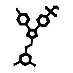 NS(=O)(=O)c1ccc(-c2nc(COc3cc(F)cc(F)c3)sc2-c2ccc(F)cc2)cc1